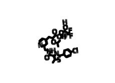 Cc1sc(-c2ccc(Cl)cc2)nc1C(=O)NCc1cc(CC(OC(C)C)C(=O)O)ccn1.O=C(O)C(F)(F)F